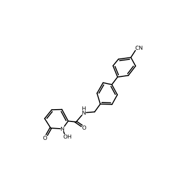 N#Cc1ccc(-c2ccc(CNC(=O)c3cccc(=O)n3O)cc2)cc1